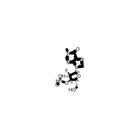 Cn1cnc2c(ncn2[C@@H]2O[C@H](CO)[C@@H](O[PH](=O)O)[C@H]2F)c1=O